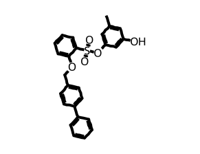 Cc1cc(O)cc(OS(=O)(=O)c2ccccc2OCc2ccc(-c3ccccc3)cc2)c1